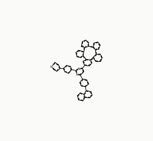 c1ccc2c(-c3ccc(-c4cc(-c5ccc6c7ccccc7c7ccccc7c7ccccc7c7ccccc7c6c5)nc(-c5ccc(-c6ccncc6)cc5)n4)cc3)cccc2c1